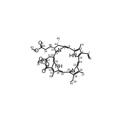 C=Cc1c(C)c2cc3nc(c(CC(=O)OC)c4[nH]c(cc5nc(cc1[nH]2)C(C)=C5CC)c(C)c4C(=O)O)[C@@H](CCC(=O)OC)[C@@H]3C